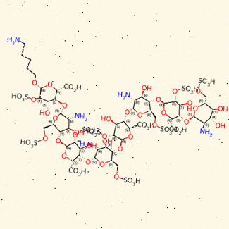 NCCCCCO[C@@H]1O[C@H](C(=O)O)[C@@H](O[C@H]2O[C@H](COS(=O)(=O)O)[C@@H](O[C@@H]3O[C@@H](C(=O)O)[C@@H](O[C@H]4O[C@H](COS(=O)(=O)O)[C@@H](O[C@@H]5O[C@H](C(=O)O)[C@@H](O[C@H]6O[C@H](COS(=O)(=O)O)[C@@H](O[C@@H]7O[C@@H](C(=O)O)[C@@H](O[C@H]8O[C@H](COS(=O)(=O)O)[C@@H](O)[C@H](O)[C@H]8N)[C@H](O)[C@H]7OS(=O)(=O)O)[C@H](O)[C@H]6N)[C@H](O)[C@H]5OS(=O)(=O)O)[C@H](O)[C@H]4N)[C@H](O)[C@H]3OS(=O)(=O)O)[C@H](O)[C@H]2N)[C@H](O)[C@H]1OS(=O)(=O)O